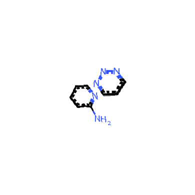 Nc1ccccn1.c1cnnnc1